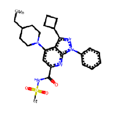 CCS(=O)(=O)NC(=O)c1cc(N2CCC(COC)CC2)c2c(C3CCC3)nn(-c3ccccc3)c2n1